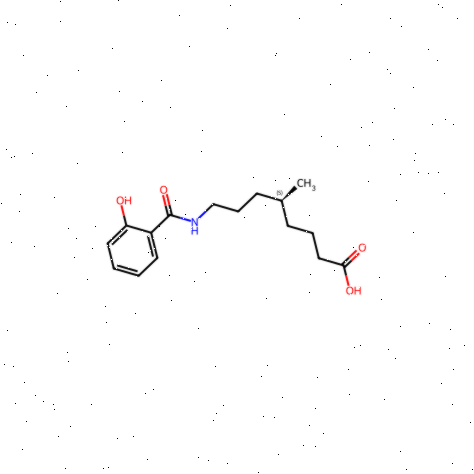 C[C@H](CCCNC(=O)c1ccccc1O)CCCC(=O)O